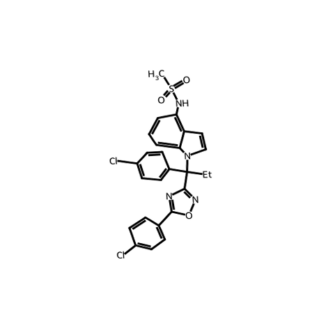 CCC(c1ccc(Cl)cc1)(c1noc(-c2ccc(Cl)cc2)n1)n1ccc2c(NS(C)(=O)=O)cccc21